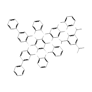 CC(C)c1cc(C(C)C)c(B2c3ccccc3Oc3cc4c(cc32)B2c3ccccc3N3c5ccccc5B5c6cc(-c7ccccc7)ccc6N6c7ccc(-c8ccccc8)cc7B7c8ccccc8N4c4c2c3c5c6c47)c(C(C)C)c1